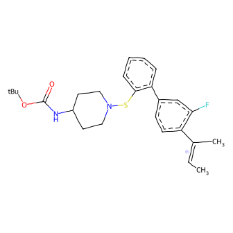 C/C=C(\C)c1ccc(-c2ccccc2SN2CCC(NC(=O)OC(C)(C)C)CC2)cc1F